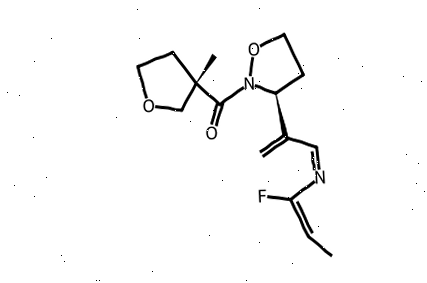 C=C(/C=N\C(F)=C/C)[C@@H]1CCON1C(=O)[C@@]1(C)CCOC1